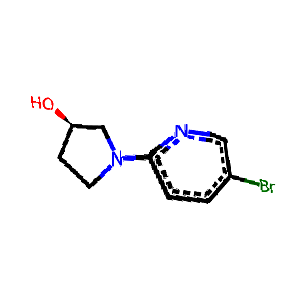 O[C@@H]1CCN(c2ccc(Br)cn2)C1